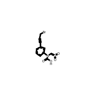 O=C(O)N(C=S(=O)=O)c1cccc(C#CCBr)c1